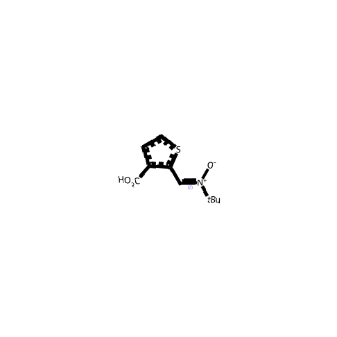 CC(C)(C)/[N+]([O-])=C/c1sccc1C(=O)O